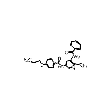 CCCOc1ccc(C(=O)Nc2cnc(C)c(NC(=O)c3ccccc3)c2)cc1